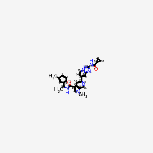 Cc1cccc([C@H](C)NC(=O)c2cn(C)c3cnc(-c4ccn5nc(NC(=O)C6CC6)nc5c4)cc23)c1